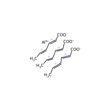 C/C=C/C=C/C(=O)[O-].C/C=C/C=C/C(=O)[O-].C/C=C/C=C/C(=O)[O-].[Al+3]